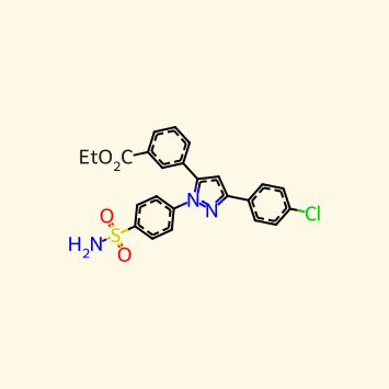 CCOC(=O)c1cccc(-c2cc(-c3ccc(Cl)cc3)nn2-c2ccc(S(N)(=O)=O)cc2)c1